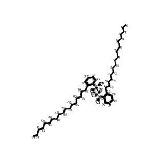 CCCCCCCCCCCCCCCCCCc1ccccc1S(=O)(=O)OS(=O)(=O)c1ccccc1CCCCCCCCCCCCCCCCCC